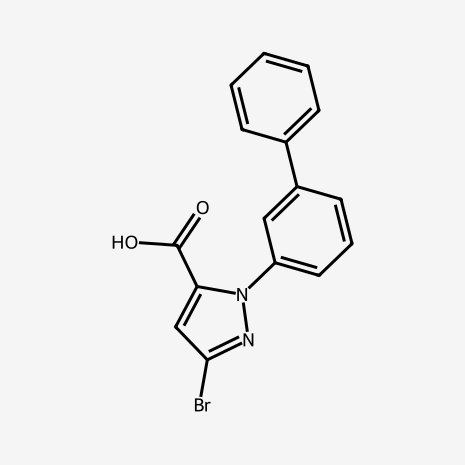 O=C(O)c1cc(Br)nn1-c1cccc(-c2ccccc2)c1